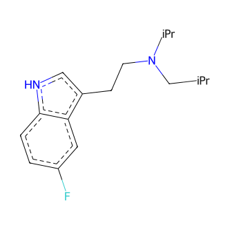 CC(C)CN(CCc1c[nH]c2ccc(F)cc12)C(C)C